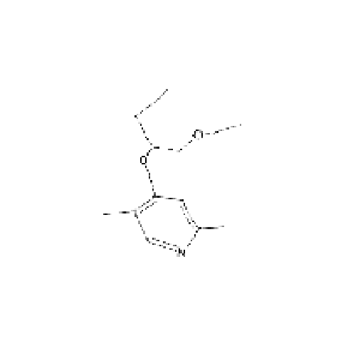 CCC(COC)Oc1cc(C)ncc1C